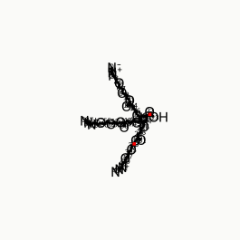 [N-]=[N+]=NCCOCCOCCOC(=O)CCCOc1cc(C(=O)O)cc(OCCCC(=O)OCCOCCOCCN=[N+]=[N-])c1OCCCC(=O)OCCOCCOCCN=[N+]=[N-]